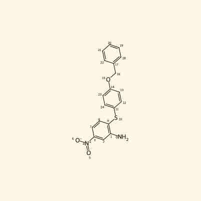 Nc1cc([N+](=O)[O-])ccc1Sc1ccc(OCc2ccccc2)cc1